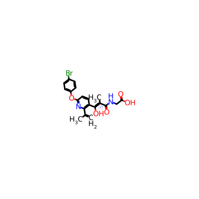 C=C(C)c1nc(Oc2ccc(Br)cc2)ccc1/C(O)=C(\C)C(=O)NCC(=O)O